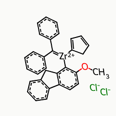 COc1ccc2c([c]1[Zr+2]([C]1=CC=CC1)=[C](c1ccccc1)c1ccccc1)Cc1ccccc1-2.[Cl-].[Cl-]